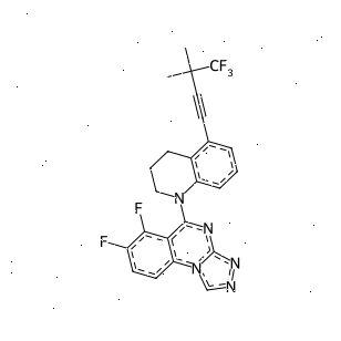 CC(C)(C#Cc1cccc2c1CCCN2c1nc2nncn2c2ccc(F)c(F)c12)C(F)(F)F